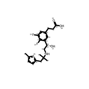 Cc1ccc(CC(C)(C)NC[C@@H](O)c2cc(CCC(=O)O)cc(F)c2F)s1